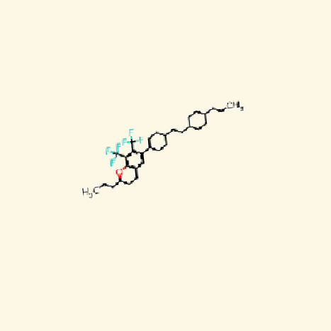 CCCC1CCC(CCC2CCC(c3cc4c(c(C(F)(F)F)c3C(F)(F)F)OC(CCC)CC4)CC2)CC1